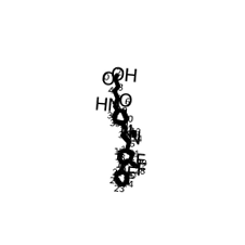 O=C(O)CCC(=O)Nc1ccc(-n2cnc(-c3ccc(-c4ccccc4)c(C(F)(F)F)c3)c2)cc1